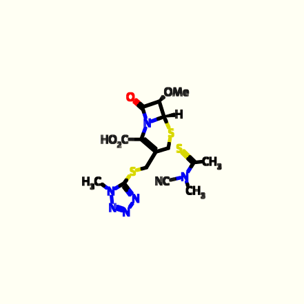 CC(=S)N(C)C#N.CO[C@@H]1C(=O)N2C(C(=O)O)=C(CSc3nnnn3C)CS[C@@H]12